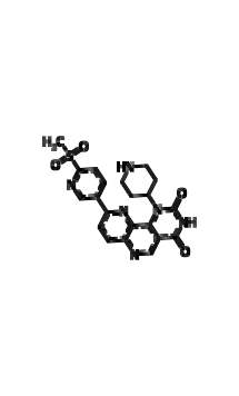 CS(=O)(=O)c1ccc(-c2ccc3ncc4c(=O)[nH]c(=O)n(C5CCNCC5)c4c3n2)cn1